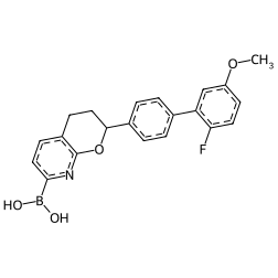 COc1ccc(F)c(-c2ccc(C3CCc4ccc(B(O)O)nc4O3)cc2)c1